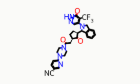 N#Cc1ccc(N2CCN(C(=O)C[C@H]3CC[C@@H]([C@@H]4c5ccccc5CN4c4cn[nH]c(=O)c4C(F)(F)F)C3=O)CC2)nc1